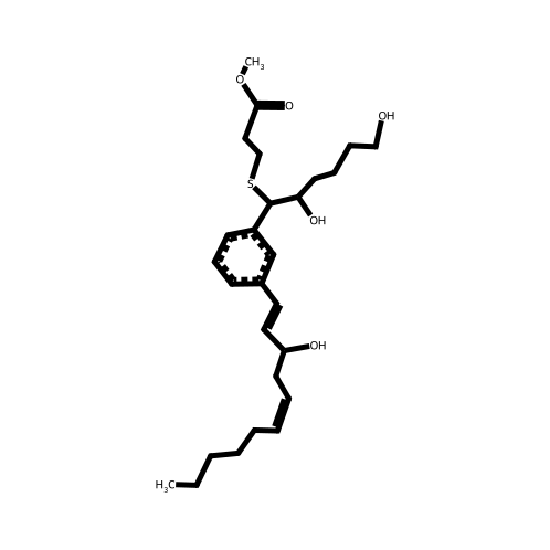 CCCCC/C=C\CC(O)/C=C/c1cccc(C(SCCC(=O)OC)C(O)CCCCO)c1